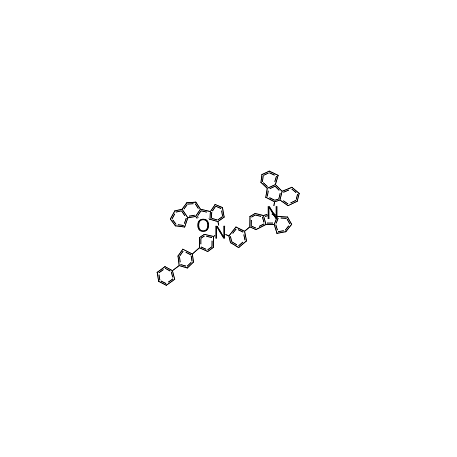 c1ccc(-c2ccc(-c3ccc(N(c4cccc(-c5ccc6c(c5)c5ccccc5n6-c5cc6ccccc6c6ccccc56)c4)c4cccc5c4oc4c6ccccc6ccc54)cc3)cc2)cc1